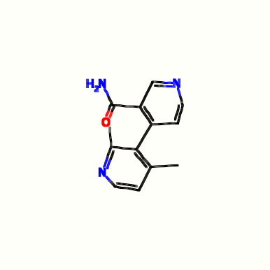 Cc1ccnc(C)c1-c1ccncc1C(N)=O